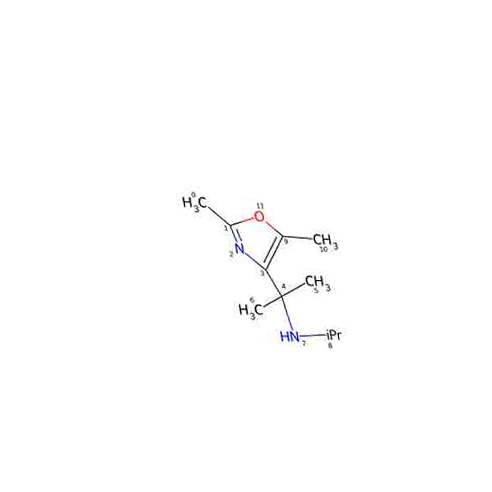 Cc1nc(C(C)(C)NC(C)C)c(C)o1